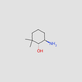 CC1(C)CCC[C@@H](N)[C@@H]1O